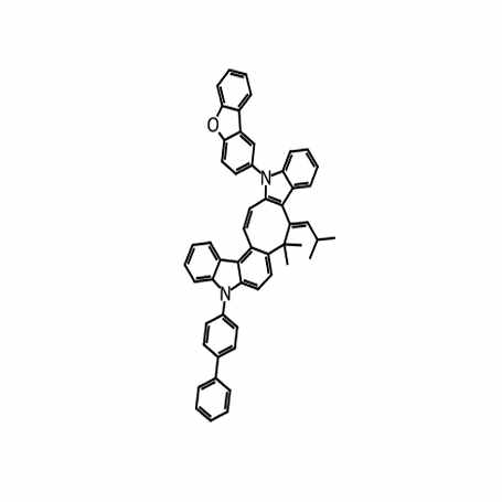 CC(C)/C=C1/c2c(n(-c3ccc4oc5ccccc5c4c3)c3ccccc23)/C=C\c2c(ccc3c2c2ccccc2n3-c2ccc(-c3ccccc3)cc2)C1(C)C